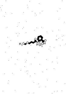 CCOCCCC(=O)NC1(C)C=CC=CC1C(=O)O